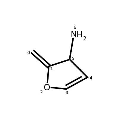 C=C1OC=CC1N